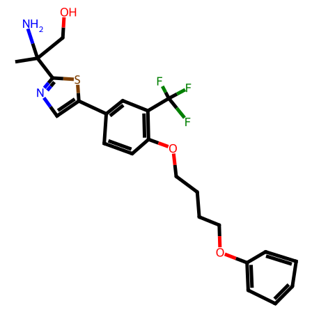 CC(N)(CO)c1ncc(-c2ccc(OCCCCOc3ccccc3)c(C(F)(F)F)c2)s1